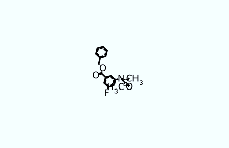 CS(C)(=O)=Nc1cc(F)cc(C(=O)OCc2ccccc2)c1